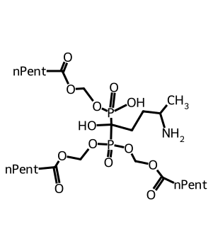 CCCCCC(=O)OCOP(=O)(O)C(O)(CCC(C)N)P(=O)(OCOC(=O)CCCCC)OCOC(=O)CCCCC